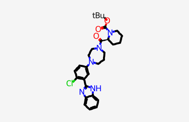 CC(C)(C)OC(=O)N1CCCC[C@H]1C(=O)N1CCCN(c2ccc(Cl)c(-c3nc4ccccc4[nH]3)c2)CC1